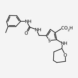 Cc1cccc(NC(=O)NCc2cc(C(=O)O)c(NC3CCCCO3)s2)c1